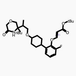 CCCCC1(C(C)COC2CCC(c3cccc(F)c3O/C=C/C(=O)OC(C)(C)C)CC2)COCC(=O)N1